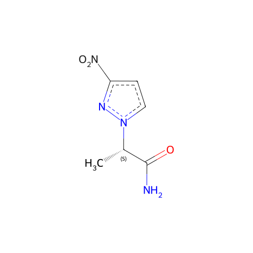 C[C@@H](C(N)=O)n1ccc([N+](=O)[O-])n1